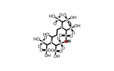 O=S(=O)(O)C(N(CCC(O)N(C(S(=O)(=O)O)S(=O)(=O)O)C(S(=O)(=O)O)S(=O)(=O)O)C(S(=O)(=O)O)S(=O)(=O)O)S(=O)(=O)O